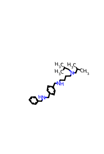 CC(C)CN(CCCCNCc1ccc(CNCc2ccccc2)cc1)CC(C)C